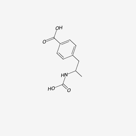 CC(Cc1ccc(C(=O)O)cc1)NC(=O)O